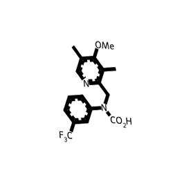 COc1c(C)cnc(CN(C(=O)O)c2cccc(C(F)(F)F)c2)c1C